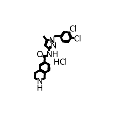 Cc1cc(NC(=O)c2ccc3c(c2)CCNC3)nn1Cc1ccc(Cl)c(Cl)c1.Cl